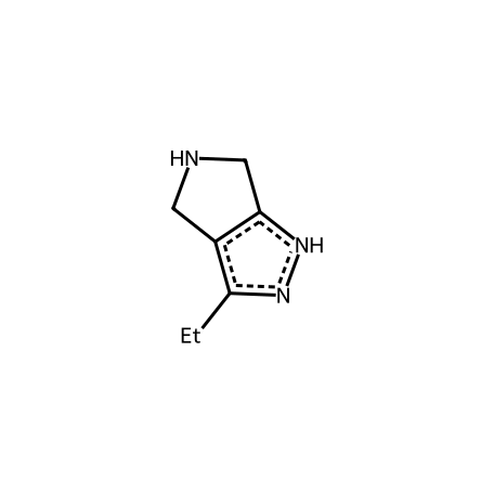 CCc1n[nH]c2c1CNC2